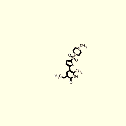 CCc1cc(-c2ccc(S(=O)(=O)N3CCN(C)CC3)s2)c(C)[nH]c1=O